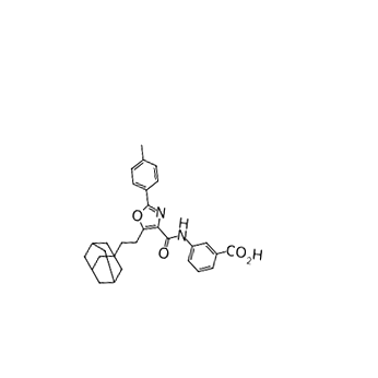 Cc1ccc(-c2nc(C(=O)Nc3cccc(C(=O)O)c3)c(CCC34CC5CC(CC(C5)C3)C4)o2)cc1